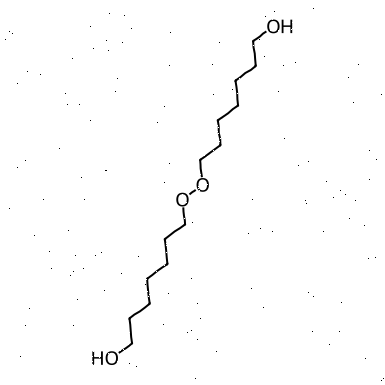 OCCCCCCCOOCCCCCCCO